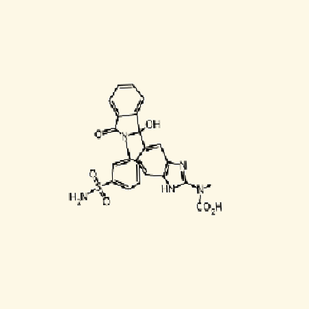 CN(C(=O)O)c1nc2cc(C3(O)c4ccccc4C(=O)N3c3cccc(S(N)(=O)=O)c3)ccc2[nH]1